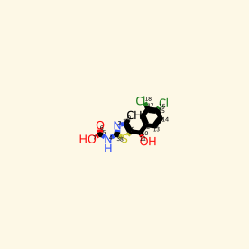 Cc1nc(NC(=O)O)sc1C(O)c1ccc(Cl)c(Cl)c1